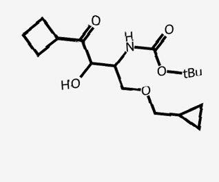 CC(C)(C)OC(=O)NC(COCC1CC1)C(O)C(=O)C1CCC1